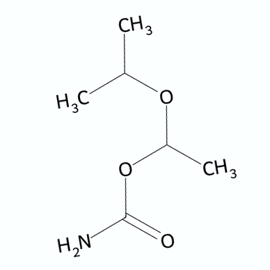 CC(C)OC(C)OC(N)=O